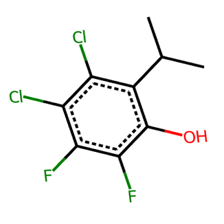 CC(C)c1c(O)c(F)c(F)c(Cl)c1Cl